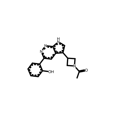 CC(=O)N1CC(c2c[nH]c3nnc(-c4ccccc4O)cc23)C1